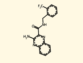 Nc1nc2ccccc2nc1C(=O)NCc1ccccc1C(F)(F)F